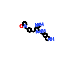 O=c1ccccn1Cc1ccc(Cc2cc3n[nH]cc3c(NCc3ccc4c(c3)CCNC4)n2)cc1